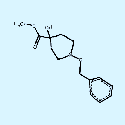 COC(=O)C1(O)CCN(OCc2ccccc2)CC1